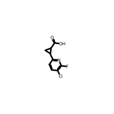 O=C(O)C1CC1c1ccc(Cl)c(F)n1